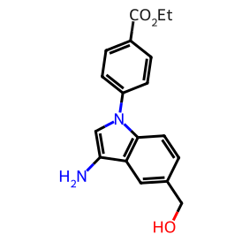 CCOC(=O)c1ccc(-n2cc(N)c3cc(CO)ccc32)cc1